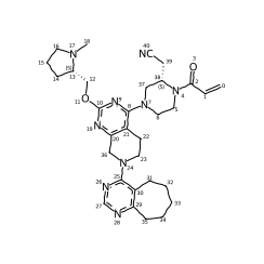 C=CC(=O)N1CCN(c2nc(OC[C@@H]3CCCN3C)nc3c2CCN(c2ncnc4c2CCCCC4)C3)C[C@@H]1CC#N